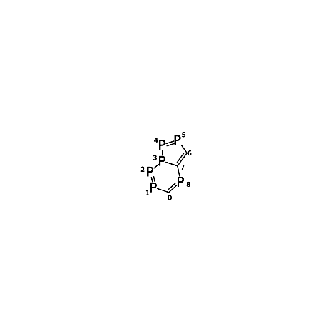 c1ppp2ppcc2p1